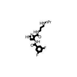 CCCNCCCNC(=O)c1n[nH]cc1NC(=O)c1cc(F)cc(F)c1